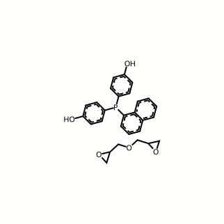 C(OCC1CO1)C1CO1.Oc1ccc(P(c2ccc(O)cc2)c2cccc3ccccc23)cc1